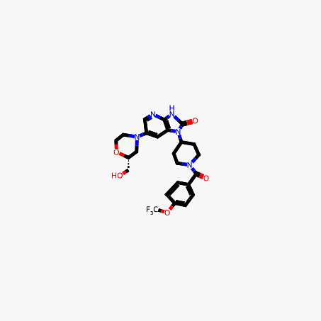 O=C(c1ccc(OC(F)(F)F)cc1)N1CCC(n2c(=O)[nH]c3ncc(N4CCO[C@@H](CO)C4)cc32)CC1